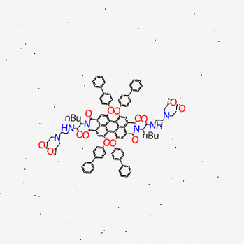 CCCCC(C(=O)NCCN(CC1CO1)CC1CO1)N1C(=O)c2cc(Oc3ccc(-c4ccccc4)cc3)c3c4c(Oc5ccc(-c6ccccc6)cc5)cc5c6c(cc(Oc7ccc(-c8ccccc8)cc7)c(c7c(Oc8ccc(-c9ccccc9)cc8)cc(c2c37)C1=O)c64)C(=O)N(C(CCCC)C(=O)NCCN(CC1CO1)CC1CO1)C5=O